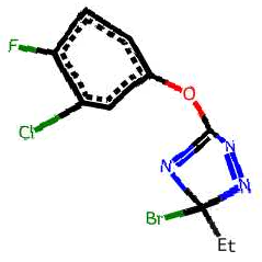 CCC1(Br)N=NC(Oc2ccc(F)c(Cl)c2)=N1